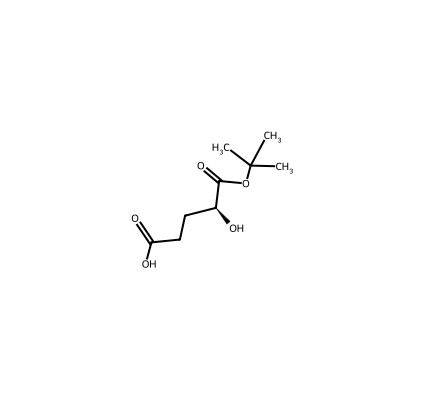 CC(C)(C)OC(=O)[C@@H](O)CCC(=O)O